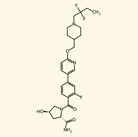 CCC(F)(F)CN1CCC(COc2ccc(-c3ccc(C(=O)N4C[C@H](O)C[C@H]4C(N)=O)c(F)c3)cn2)CC1